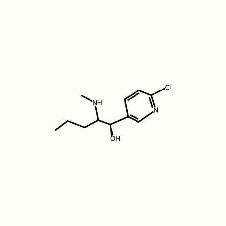 CCCC(NC)[C@H](O)c1ccc(Cl)nc1